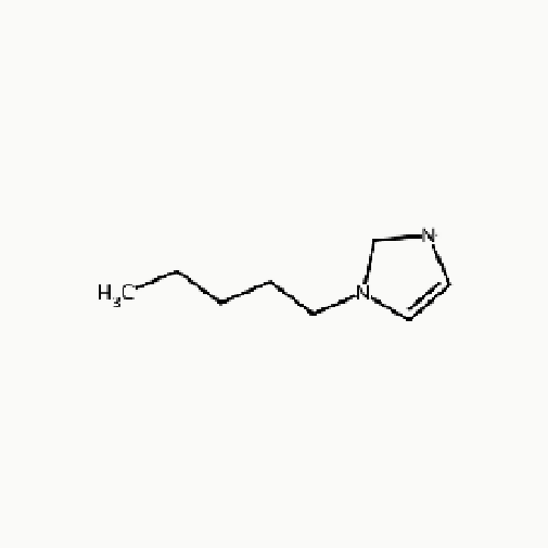 CCCCCN1C=C[N]C1